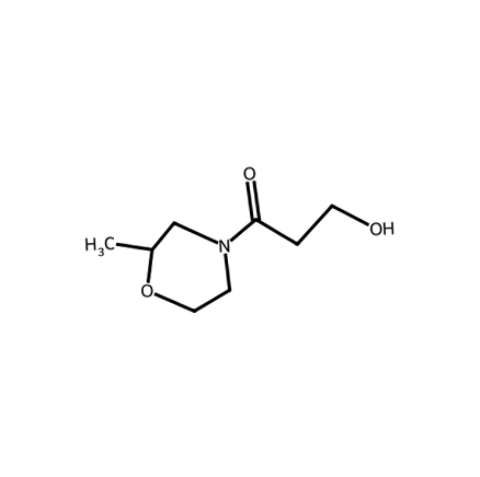 CC1CN(C(=O)CCO)CCO1